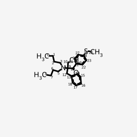 CCCCN(CCCC)C(CC)(Cc1ccccc1)C(=O)c1ccc(SC)cc1